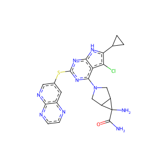 NC(=O)C1(N)C2CN(c3nc(Sc4cnc5nccnc5c4)nc4[nH]c(C5CC5)c(Cl)c34)CC21